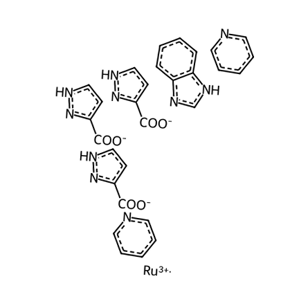 O=C([O-])c1cc[nH]n1.O=C([O-])c1cc[nH]n1.O=C([O-])c1cc[nH]n1.[Ru+3].c1ccc2[nH]cnc2c1.c1ccncc1.c1ccncc1